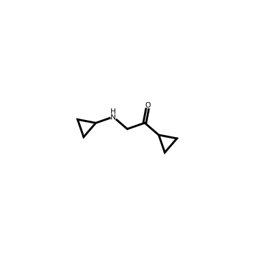 O=C(CNC1CC1)C1CC1